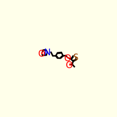 CC(=O)c1cscc1OCc1ccc(CCN2CCOCC2)cc1